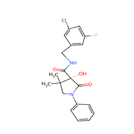 CC1(C)CN(c2ccccc2)C(=O)[C@]1(O)C(=O)NCc1cc(F)cc(Cl)c1